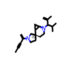 C=C(C)C(C(C)C)N1CC[C@]2(CCN(C(=C)C#CC)C2)C2CC21